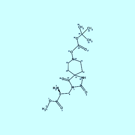 COC(=O)[C@@H](N)CN1C(=O)NC2(CCN(OC(=O)OC(C)(C)C)CC2)C1=O